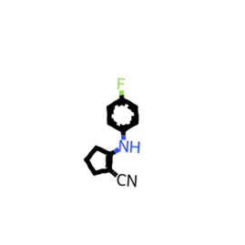 N#CC1=C(Nc2ccc(F)cc2)CCC1